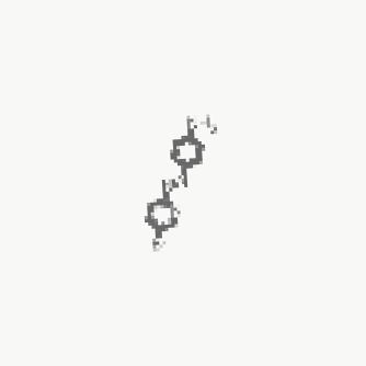 Nc1ccc(N=Nc2ccc(Br)cn2)cc1